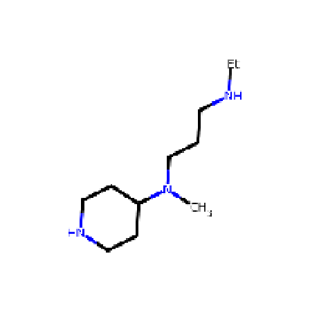 CCNCCCN(C)C1CCNCC1